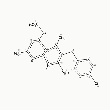 Cc1cc(CC(=O)O)c2c(C)c(Cc3ccc(Cl)cc3)c(C)nc2c1